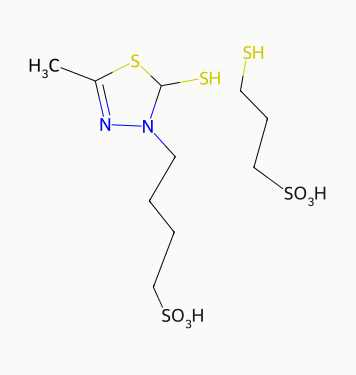 CC1=NN(CCCCS(=O)(=O)O)C(S)S1.O=S(=O)(O)CCCS